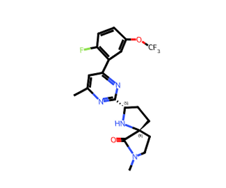 Cc1cc(-c2cc(OC(F)(F)F)ccc2F)nc([C@@H]2CC[C@]3(CCN(C)C3=O)N2)n1